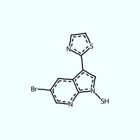 Sn1cc(-c2nccs2)c2cc(Br)cnc21